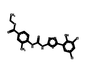 CCOC(=O)c1ccc(NC(=O)Nc2nnc(-c3cc(Cl)cc(Cl)c3O)s2)c(C)c1